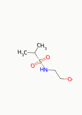 CC(C)S(=O)(=O)NCC[O]